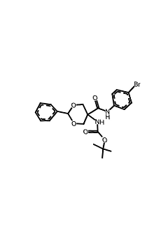 CC(C)(C)OC(=O)NC1(C(=O)Nc2ccc(Br)cc2)COC(c2ccccc2)OC1